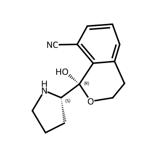 N#Cc1cccc2c1[C@](O)([C@@H]1CCCN1)OCC2